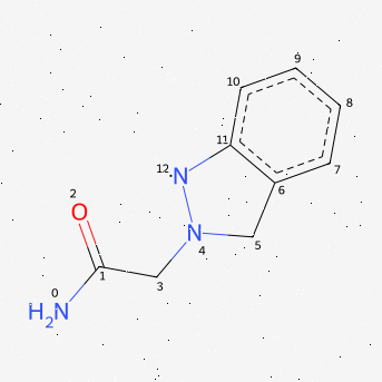 NC(=O)CN1Cc2ccccc2[N]1